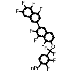 CCCc1ccc(C(F)(F)Oc2ccc3cc(-c4cc(F)c5c(F)c(F)c(F)cc5c4)c(F)c(F)c3c2F)c(F)c1F